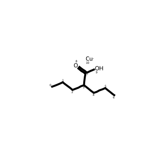 CCCC(CCC)C(=O)O.[Cu]